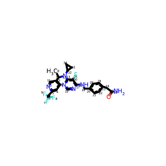 CC(c1ccc(C(F)(F)F)nc1)N(c1ncnc(NCc2ccc(CC(N)=O)cc2)c1F)C1CC1